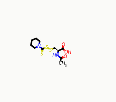 CC(=O)N[C@@H](CSSC(=S)N1CCCCC1)C(=O)O